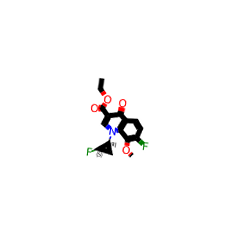 CCOC(=O)c1cn([C@@H]2C[C@@H]2F)c2c(OC)c(F)ccc2c1=O